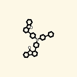 O=C1c2ccccc2-c2cccc(-c3ccc(N(c4ccc(-c5ccccc5)cc4)c4ccc(-c5cccc6c5oc5ccccc56)cc4)cc3)c21